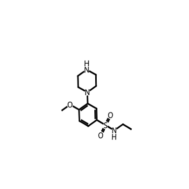 CCNS(=O)(=O)c1ccc(OC)c(N2CCNCC2)c1